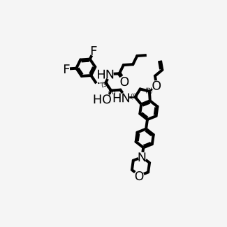 C=CCO[C@@H]1C[C@H](NC[C@@H](O)[C@H](Cc2cc(F)cc(F)c2)NC(=O)CCCC)c2cc(-c3ccc(N4CCOCC4)cc3)ccc21